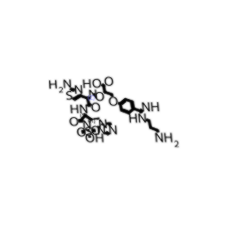 N=C(NCCCN)c1ccc(OCC(O/N=C(\C(=O)N[C@@H]2C(=O)N(S(=O)(=O)O)[C@@H]2Cn2cncn2)c2csc(N)n2)C(=O)O)cc1